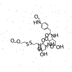 O=CNc1ccc(CC(=O)NC(CC(=O)O)C(=O)N[C@@H](CC(=O)O)C(=O)NCCSSCCOC=O)cc1